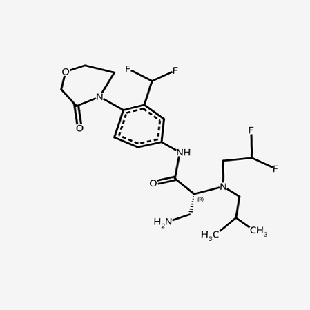 CC(C)CN(CC(F)F)[C@H](CN)C(=O)Nc1ccc(N2CCOCC2=O)c(C(F)F)c1